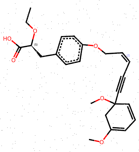 CCO[C@@H](Cc1ccc(OC/C=C\C#CC2(OC)C=CC=C(OC)C2)cc1)C(=O)O